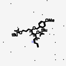 C=C/C=C\[C@H](C)[C@H](O[Si](C)(C)C(C)(C)C)[C@H](C)[C@@H](CCCO[Si](C)(C)C(C)(C)C)OCc1ccc(OC)cc1